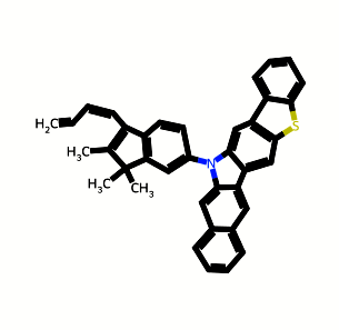 C=C/C=C\C1=C(C)C(C)(C)c2cc(-n3c4cc5ccccc5cc4c4cc5sc6ccccc6c5cc43)ccc21